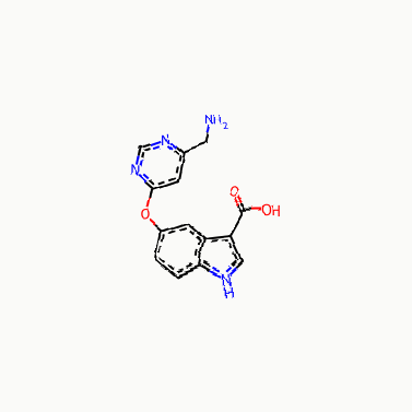 NCc1cc(Oc2ccc3[nH]cc(C(=O)O)c3c2)ncn1